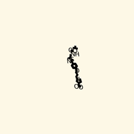 COC(=O)C1CCN(CCCOc2ccc(-c3ncc(CNC(=O)OC(C)(C)C)s3)cc2)C1